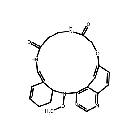 CON1c2ncnc3ccc(cc23)OCC(=O)NCCC(=O)N/C=C2/C=CCCC21